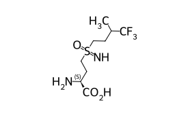 CC(CCS(=N)(=O)CC[C@H](N)C(=O)O)C(F)(F)F